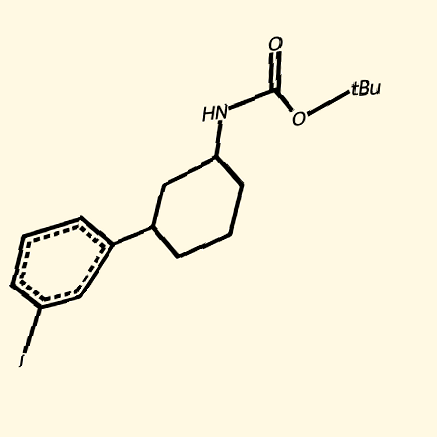 CC(C)(C)OC(=O)NC1CCCC(c2cccc(I)c2)C1